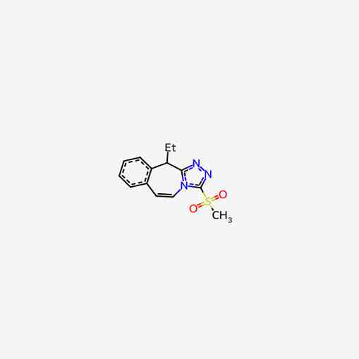 CCC1c2ccccc2C=Cn2c1nnc2S(C)(=O)=O